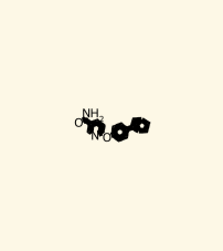 NC(=O)c1ccc(Oc2ccc(C3CC4CCC3C4)cc2)nc1